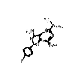 CCCN(C)c1nc(NC)c2nc(-c3ccc(F)cc3)nc(N)c2n1